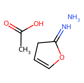 CC(=O)O.N.N=C1CC=CO1